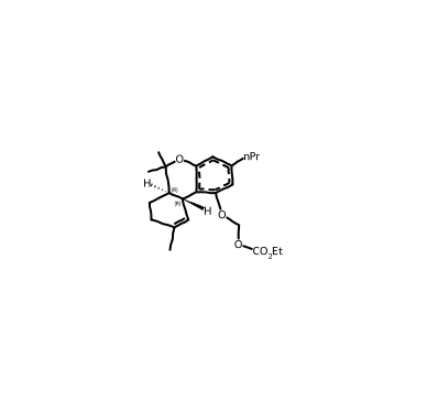 CCCc1cc(OCOC(=O)OCC)c2c(c1)OC(C)(C)[C@@H]1CCC(C)=C[C@@H]21